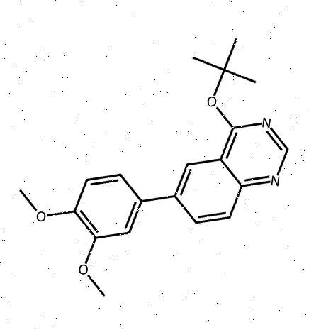 COc1ccc(-c2ccc3ncnc(OC(C)(C)C)c3c2)cc1OC